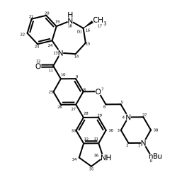 CCCCN1CCN(CCOC2=CC(C(=O)N3CC[C@H](C)Nc4ccccc43)CC=C2c2ccc3c(c2)CCN3)CC1